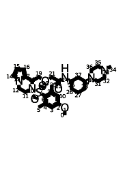 COc1cc(C)c(S(=O)(=O)N2CCn3cccc3C2COCC(=O)N[C@@H]2CCC[C@H](N3CCN(C)CC3)C2)c(C)c1